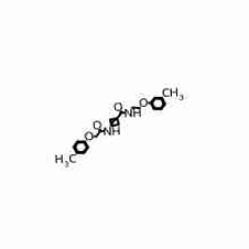 Cc1ccc(OCC(=O)NC23CC(C(=O)NCCOc4cccc(C)c4)(C2)C3)cc1